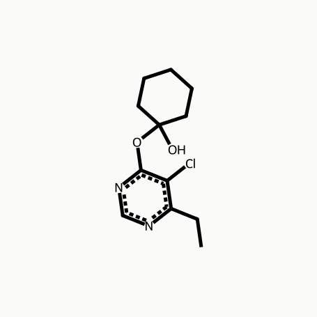 CCc1ncnc(OC2(O)CCCCC2)c1Cl